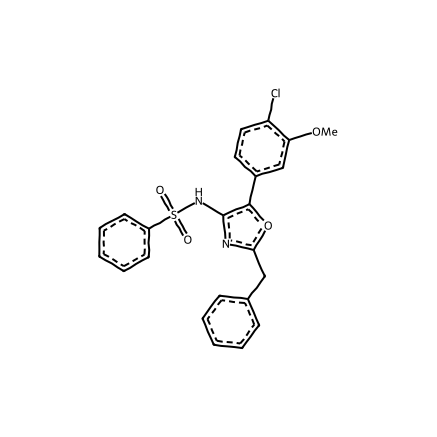 COc1cc(-c2oc(Cc3ccccc3)nc2NS(=O)(=O)c2ccccc2)ccc1Cl